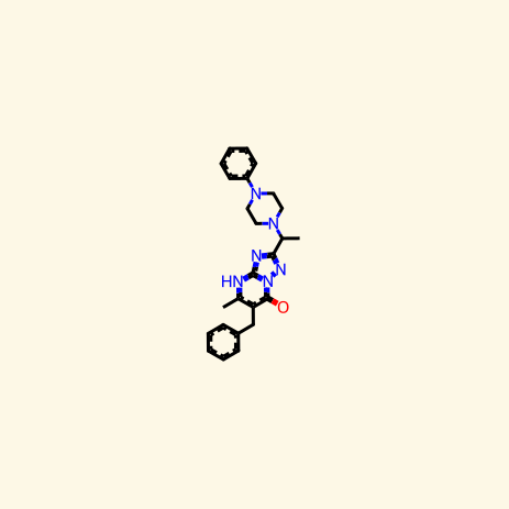 Cc1[nH]c2nc(C(C)N3CCN(c4ccccc4)CC3)nn2c(=O)c1Cc1ccccc1